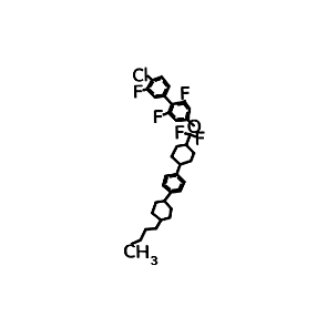 CCCCCC1CCC(c2ccc(C3CCC(C(F)(F)Oc4cc(F)c(-c5ccc(Cl)c(F)c5)c(F)c4)CC3)cc2)CC1